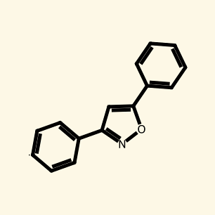 [c]1ccc(-c2cc(-c3ccccc3)on2)cc1